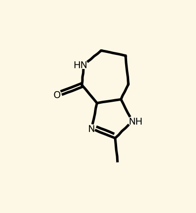 CC1=NC2C(=O)NCCCC2N1